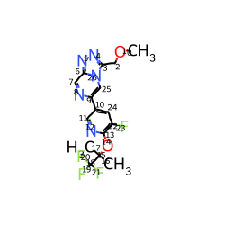 COCc1nnc2cnc(-c3cnc(OC(C)(C)C(F)(F)F)c(F)c3)cn12